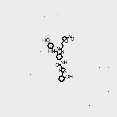 O=Nc1ccc(/C=C/c2nc(Nc3ccc(O)cc3)c3ccc(NC(=O)c4csc(-c5ccccc5O)n4)cc3n2)o1